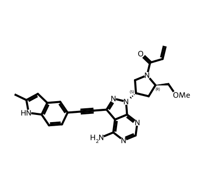 C=CC(=O)N1C[C@@H](n2nc(C#Cc3ccc4[nH]c(C)cc4c3)c3c(N)ncnc32)C[C@@H]1COC